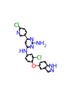 Nc1nc(Nc2ccc(Oc3ccc4[nH]ncc4c3)c(Cl)c2)cc(-c2ccc(Cl)nc2)n1